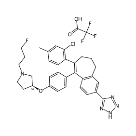 Cc1ccc(C2=C(c3ccc(O[C@H]4CCN(CCCF)C4)cc3)c3ccc(-c4nn[nH]n4)cc3CCC2)c(Cl)c1.O=C(O)C(F)(F)F